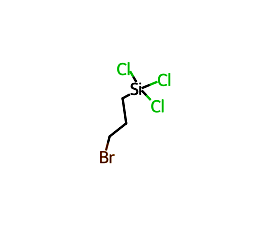 Cl[Si](Cl)(Cl)CCCBr